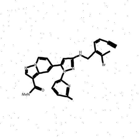 C#C/C=C\C(CNc1cc(-c2ccn3ncc(C(=O)NC)c3c2)n(-c2cccc(C)n2)n1)=C(/C)Br